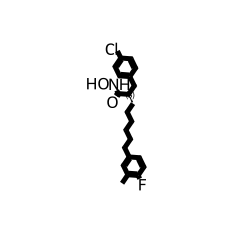 Cc1cc(CCCCCC[C@@H](Cc2ccc(Cl)cc2)C(=O)NO)ccc1F